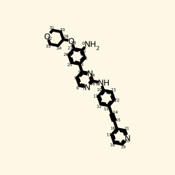 Nc1cc(-c2ccnc(Nc3ccc(C#Cc4cccnc4)cc3)n2)ccc1OC1CCOCC1